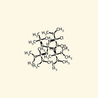 CN(C)P(C)(=N[PH](N=P(C)(C)C)(N=P(C)(N(C)C)N(C)C)N=P(Cl)(N(C)C)N(C)C)N(C)C